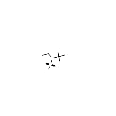 CCN(C(F)(F)F)S(=O)(=O)O